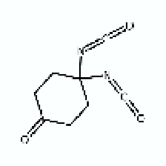 O=C=NC1(N=C=O)CCC(=O)CC1